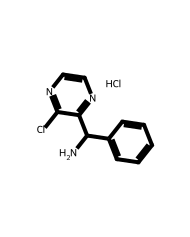 Cl.NC(c1ccccc1)c1nccnc1Cl